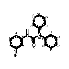 O=C(Nc1cccc(F)c1)N(c1ccccc1)c1cccnc1